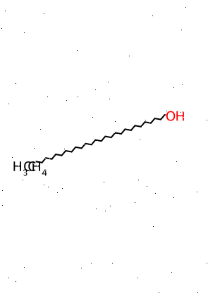 C.CCCCCCCCCCCCCCCCCCCCCCCCCCCCO